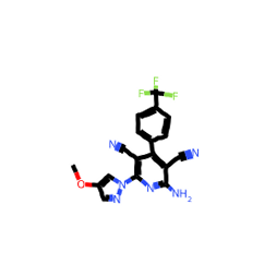 COc1cnn(-c2nc(N)c(C#N)c(-c3ccc(C(F)(F)F)cc3)c2C#N)c1